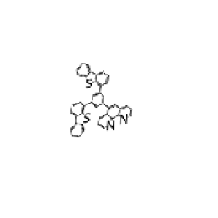 c1cnc2c(c1)cc(-c1cc(-c3cccc4c3sc3ccccc34)cc(-c3cccc4c3sc3ccccc34)c1)c1cccnc12